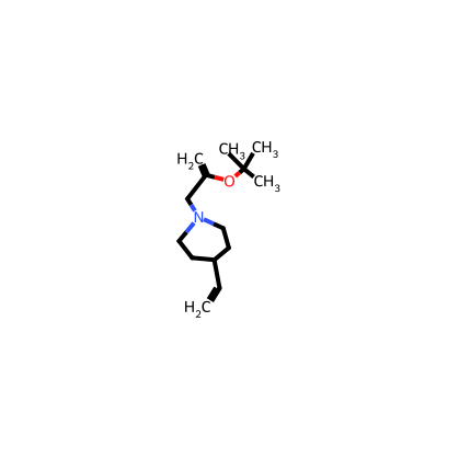 C=CC1CCN(CC(=C)OC(C)(C)C)CC1